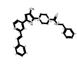 N#Cc1cc(-c2ccnc(C=Cc3ccccc3)c2)[nH]c1N1CCN(C(=O)NCc2ccccc2)CC1